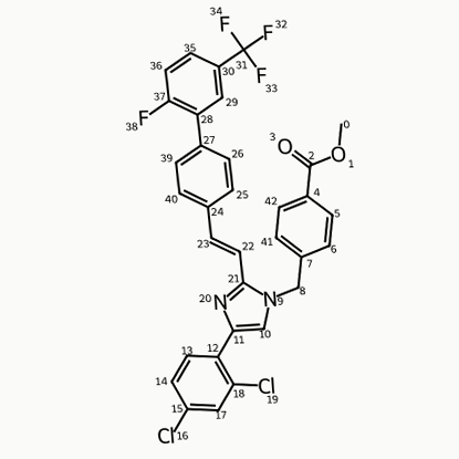 COC(=O)c1ccc(Cn2cc(-c3ccc(Cl)cc3Cl)nc2/C=C/c2ccc(-c3cc(C(F)(F)F)ccc3F)cc2)cc1